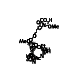 CC[C@H]1OC(=O)[C@H](C)[C@@H](O[C@H]2C[C@@](C)(OC)[C@@H](OCCOC=CCc3ccc4c(c3)c(=O)c(C(=O)O)cn4CCOC)[C@H](C)O2)[C@H](C)[C@@H](O[C@@H]2O[C@H](C)C[C@H](N(C)C)[C@H]2OC(C)=O)[C@](C)(O)C[C@@H](C)CN(C)[C@H](C)C(O)[C@]1(C)O